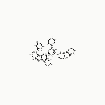 C1=CC2Oc3ccccc3C2C=C1c1nc(-c2ccccc2)nc(-c2cc3c(oc4cccc(-c5ccccc5)c43)c3ccccc23)n1